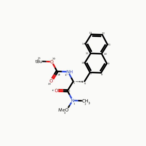 CON(C)C(=O)[C@@H](Cc1ccc2ccccc2c1)NC(=O)OC(C)(C)C